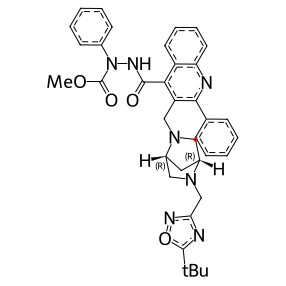 COC(=O)N(NC(=O)c1c(CN2C[C@H]3C[C@@H]2CN3Cc2noc(C(C)(C)C)n2)c(-c2ccccc2)nc2ccccc12)c1ccccc1